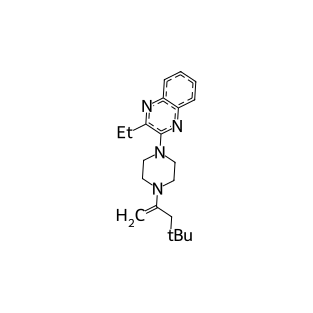 C=C(CC(C)(C)C)N1CCN(c2nc3ccccc3nc2CC)CC1